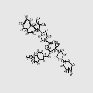 CN1CCN(C2CCN(C(=O)[C@@H](Cc3ccc4[nH]ncc4c3)OC(=O)N3CCC(n4c(=O)[nH]c5c6ccccc6ccc54)CC3)CC2)CC1